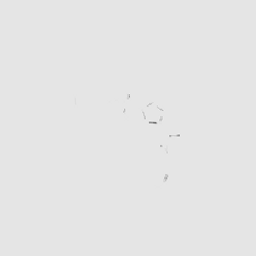 C#CCNC(=O)c1ccc(S(=O)(=O)OC(C)C)o1